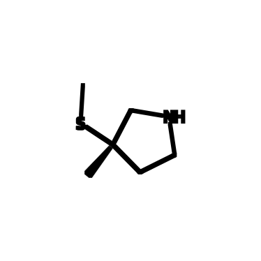 CS[C@@]1(C)CCNC1